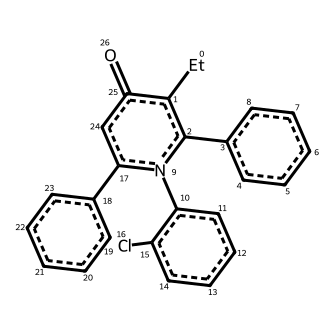 CCc1c(-c2ccccc2)n(-c2ccccc2Cl)c(-c2ccccc2)cc1=O